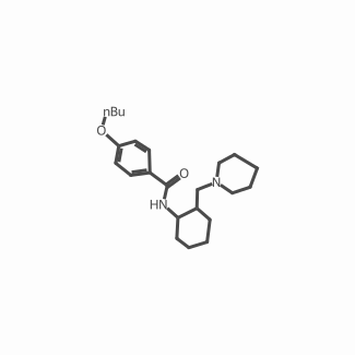 CCCCOc1ccc(C(=O)NC2CCCCC2CN2CCCCC2)cc1